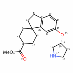 COC(=O)C1CCC2(CCc3ccc(O[C@@H]4CCNC4)cc32)CC1